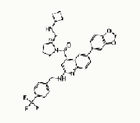 O=C(c1cc(NCc2ccc(C(F)(F)F)cc2)nc2ccc(-c3ccc4c(c3)OCO4)cc12)N1CCC[C@H]1CNC1CCC1